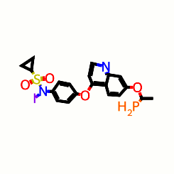 CC(P)Oc1ccc2c(Oc3ccc(N(I)S(=O)(=O)C4CC4)cc3)ccnc2c1